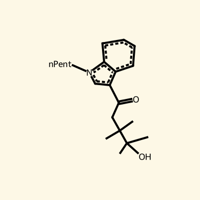 CCCCCn1cc(C(=O)CC(C)(C)C(C)(C)O)c2ccccc21